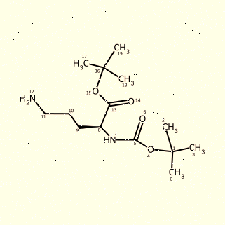 CC(C)(C)OC(=O)N[C@@H](CCCN)C(=O)OC(C)(C)C